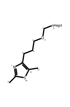 CCCCCCCCOCCCc1nc(C)sc1C